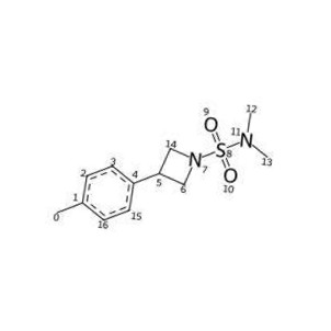 Cc1ccc(C2CN(S(=O)(=O)N(C)C)C2)cc1